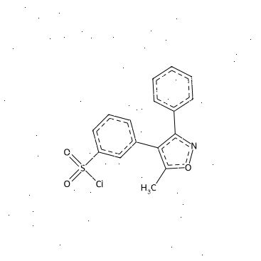 Cc1onc(-c2ccccc2)c1-c1cccc(S(=O)(=O)Cl)c1